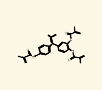 C=C(C)C(=O)Oc1ccc(C(=C(C)C)c2ccc(OC(=O)C(=C)C)c(OC(=O)C(=C)C)c2)cc1